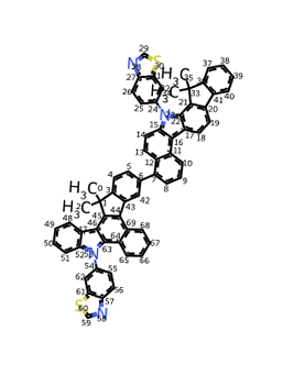 CC1(C)c2ccc(-c3cccc4c3ccc3c4c4ccc5c(c4n3-c3ccc4ncsc4c3)C(C)(C)c3ccccc3-5)cc2-c2c1c1c3ccccc3n(-c3ccc4ncsc4c3)c1c1ccccc21